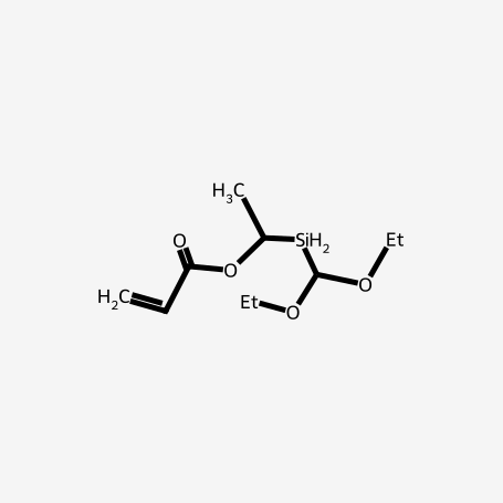 C=CC(=O)OC(C)[SiH2]C(OCC)OCC